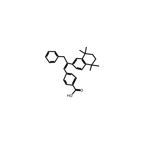 CC1(C)CCC(C)(C)c2cc(/C(=C\c3ccc(C(=O)O)cc3)Cc3ccccc3)ccc21